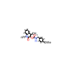 CCCn1c(=O)c(OC(=O)NCc2ccc(OC)cc2)c(C)c2ccccc21